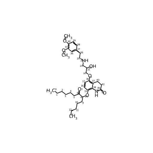 CCCCCCC(=O)C(CCCCC)Oc1ccc(OCC(O)CNCCc2ccc(OC)c(OC)c2)c2c1NC(=O)CC2